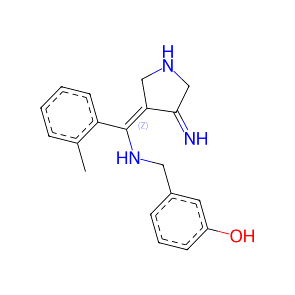 Cc1ccccc1/C(NCc1cccc(O)c1)=C1\CNCC1=N